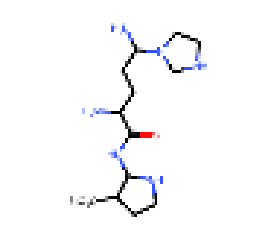 CCOC(=O)C1CCNC1NC(=O)C(N)CCC(N)N1CCNC1